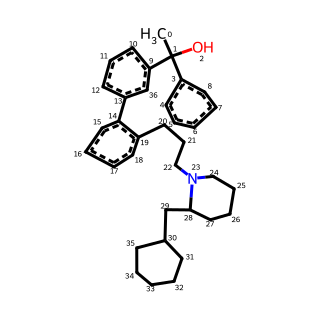 CC(O)(c1ccccc1)c1cccc(-c2ccccc2CCCN2CCCCC2CC2CCCCC2)c1